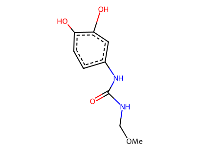 COCNC(=O)Nc1ccc(O)c(O)c1